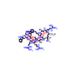 CC(C)[C@H](NC(=O)[C@H](CCCCN)NC(=O)[C@H](CC(=O)O)NC(=O)[C@@H](NC(=O)[C@@H](NC(=O)[C@H](CCCNC(=N)N)NC(=O)[C@H](CCCNC(=N)N)NC(=O)[C@H](Cc1c[nH]c2ccccc12)NC(=O)[C@H](Cc1c[nH]c2ccccc12)NC(=O)CN)[C@@H](C)O)C(C)C)C(=O)N[C@@H](CCCNC(=N)N)C(=O)N[C@@H](CCCCN)C(=O)O